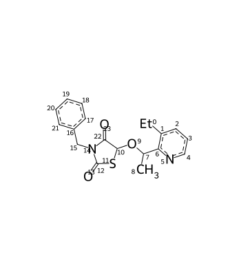 CCc1cccnc1C(C)OC1SC(=O)N(Cc2ccccc2)C1=O